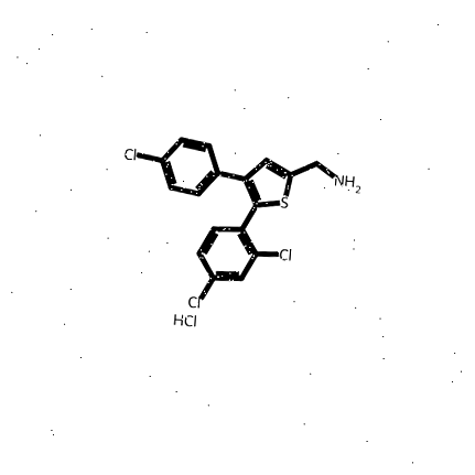 Cl.NCc1cc(-c2ccc(Cl)cc2)c(-c2ccc(Cl)cc2Cl)s1